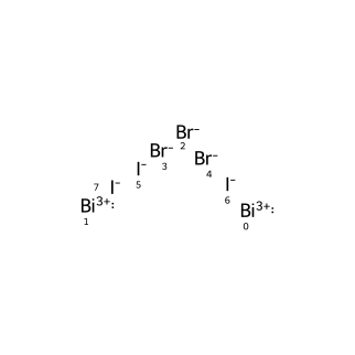 [Bi+3].[Bi+3].[Br-].[Br-].[Br-].[I-].[I-].[I-]